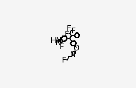 FCCCN1CC(Oc2ccc(C(=C(c3ccccc3)C(F)C(F)F)c3ccc4[nH]nc(F)c4c3)cc2)C1